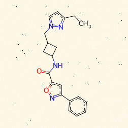 CCc1ccn(CC2CC(NC(=O)c3cc(-c4ccccc4)no3)C2)n1